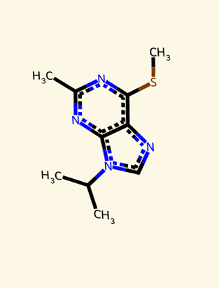 CSc1nc(C)nc2c1ncn2C(C)C